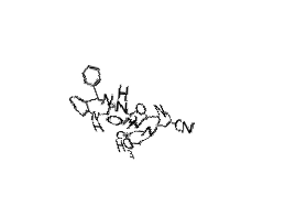 C[C@H]1CN(c2cc(C#N)cnc2-c2nnc(N[C@H]3N=C(c4ccccc4)c4ccccc4NC3=O)o2)CCO1